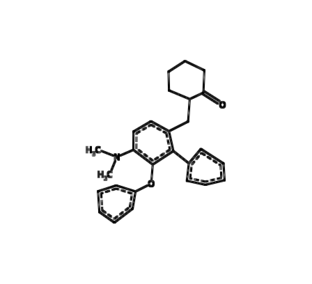 CN(C)c1ccc(CC2CCCCC2=O)c(-c2ccccc2)c1Oc1ccccc1